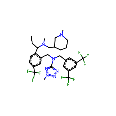 CCC(c1ccc(C(F)(F)F)cc1CN(Cc1cc(C(F)(F)F)cc(C(F)(F)F)c1)c1nnn(C)n1)N(C)CC1CCCN(C)C1